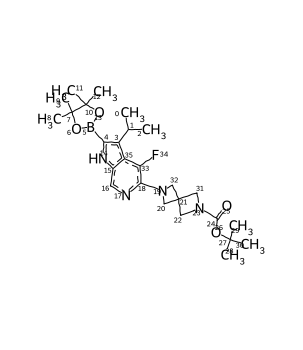 CC(C)c1c(B2OC(C)(C)C(C)(C)O2)[nH]c2cnc(N3CC4(CN(C(=O)OC(C)(C)C)C4)C3)c(F)c12